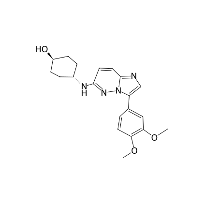 COc1ccc(-c2cnc3ccc(N[C@H]4CC[C@H](O)CC4)nn23)cc1OC